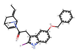 C/C=C1\CC2C=CC1N(C(=O)Cc1c(I)[nH]c3ccc(OCc4ccccc4)cc13)C2